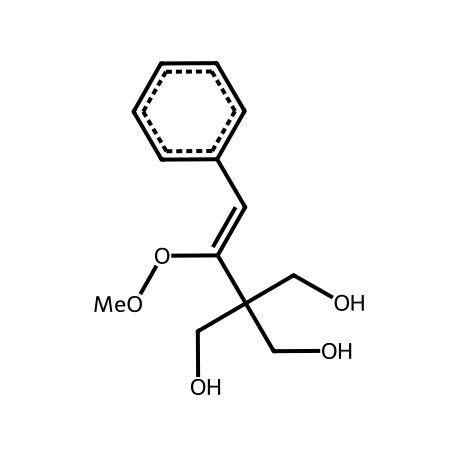 COOC(=Cc1ccccc1)C(CO)(CO)CO